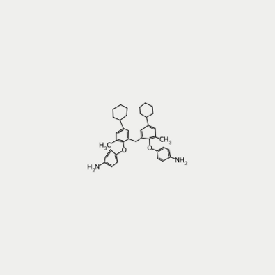 Cc1cc(C2CCCCC2)cc(Cc2cc(C3CCCCC3)cc(C)c2Oc2ccc(N)cc2)c1Oc1ccc(N)cc1